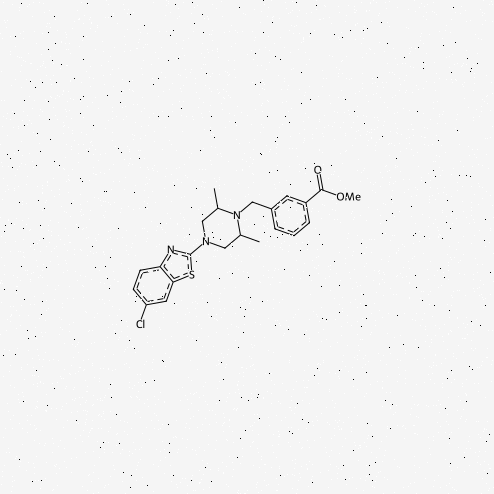 COC(=O)c1cccc(CN2C(C)CN(c3nc4ccc(Cl)cc4s3)CC2C)c1